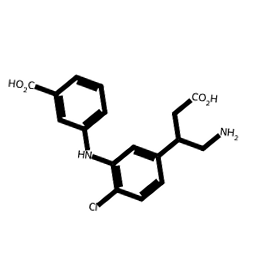 NCC(CC(=O)O)c1ccc(Cl)c(Nc2cccc(C(=O)O)c2)c1